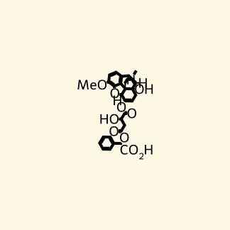 COc1ccc2c3c1O[C@H]1C(OC(=O)C(O)CC(=O)O[C@H](C(=O)O)c4ccccc4)=CC[C@@]4(O)[C@@H](C2)N(C)CC[C@]314